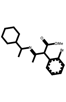 COC(=O)C(/C(C)=N/C(C)C1CCCCC1)c1ccccc1Br